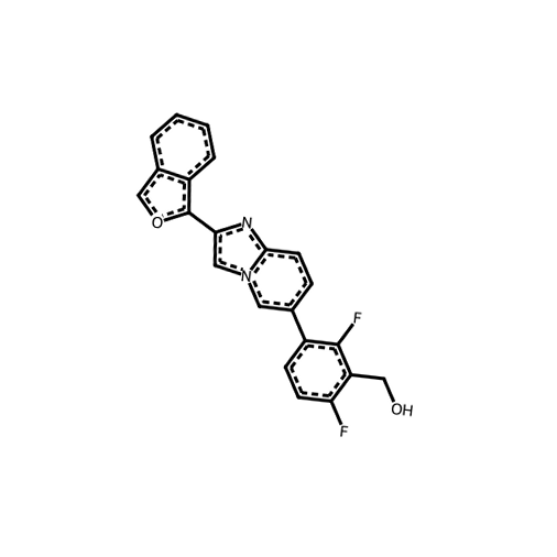 OCc1c(F)ccc(-c2ccc3nc(-c4occ5ccccc45)cn3c2)c1F